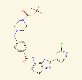 CC(C)(C)OC(=O)N1CCN(Cc2ccc(C(=O)Nc3cccc4[nH]c(-c5ccnc(Cl)c5)nc34)cc2)CC1